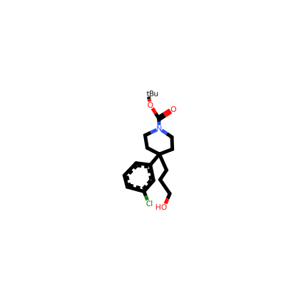 CC(C)(C)OC(=O)N1CCC(CCCO)(c2cccc(Cl)c2)CC1